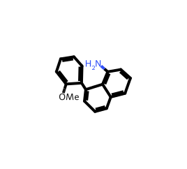 COc1ccccc1-c1cccc2cccc(N)c12